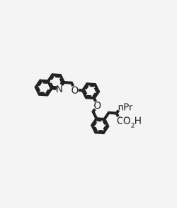 CCCC(Cc1ccccc1COc1cccc(OCc2ccc3ccccc3n2)c1)C(=O)O